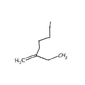 C=C(CC)CCI